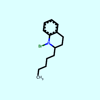 CCCCCC1CCc2ccccc2N1Br